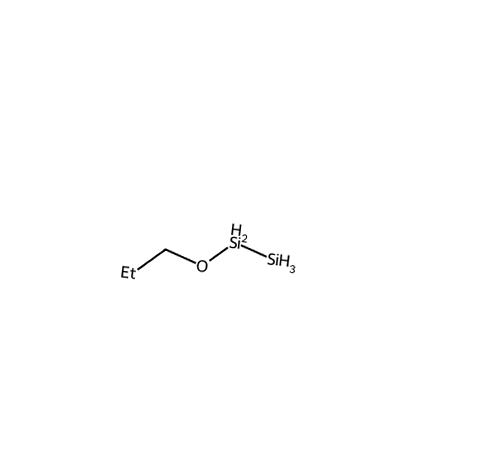 CCCO[SiH2][SiH3]